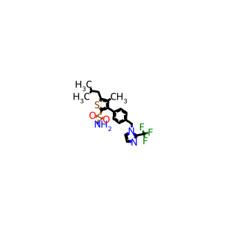 Cc1c(CC(C)C)sc(S(N)(=O)=O)c1-c1ccc(Cn2ccnc2C(F)(F)F)cc1